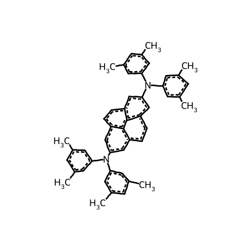 Cc1cc(C)cc(N(c2cc(C)cc(C)c2)c2cc3ccc4cc(N(c5cc(C)cc(C)c5)c5cc(C)cc(C)c5)cc5ccc(c2)c3c45)c1